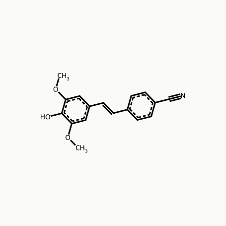 COc1cc(/C=C/c2ccc(C#N)cc2)cc(OC)c1O